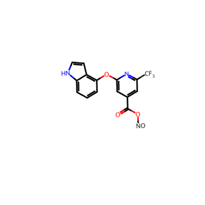 O=NOC(=O)c1cc(Oc2cccc3[nH]ccc23)nc(C(F)(F)F)c1